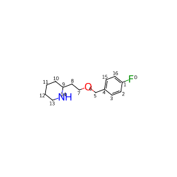 Fc1ccc(COCCC2CCCCN2)cc1